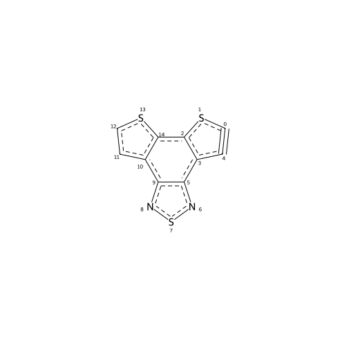 c1sc2c(c#1)c1nsnc1c1ccsc12